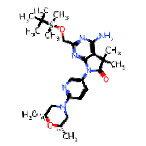 C[C@@H]1CN(c2ccc(N3C(=O)C(C)(C)c4c(N)nc(CO[Si](C)(C)C(C)(C)C)nc43)cn2)C[C@H](C)O1